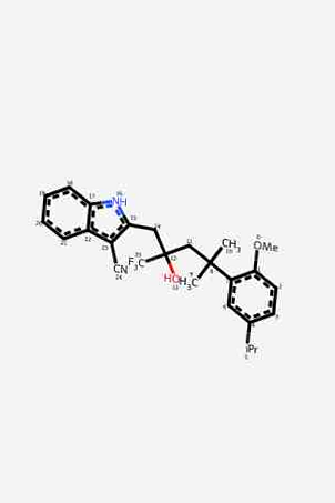 COc1ccc(C(C)C)cc1C(C)(C)CC(O)(Cc1[nH]c2ccccc2c1C#N)C(F)(F)F